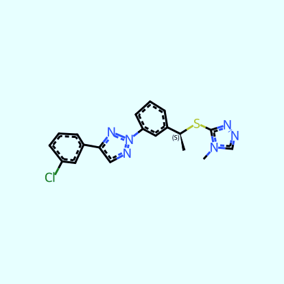 C[C@H](Sc1nncn1C)c1cccc(-n2ncc(-c3cccc(Cl)c3)n2)c1